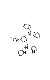 COc1cc(CN(Cc2ccccn2)Cc2ccccn2)cc(CN(Cc2ccccn2)Cc2ccccn2)c1